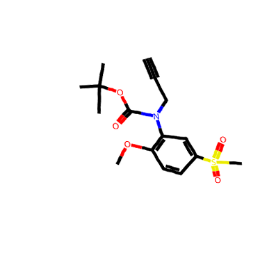 C#CCN(C(=O)OC(C)(C)C)c1cc(S(C)(=O)=O)ccc1OC